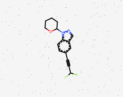 FC(F)C#Cc1ccc2c(cnn2C2CCCCO2)c1